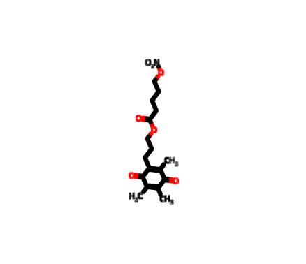 CC1=C(C)C(=O)C(CCCOC(=O)CCCCO[N+](=O)[O-])=C(C)C1=O